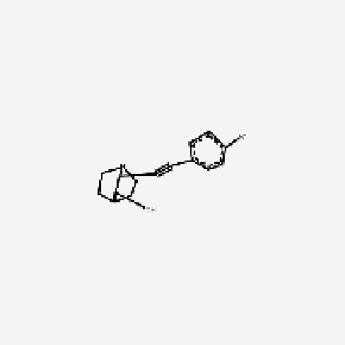 OC1C2CCN(CC2)C1C#Cc1ccc(Br)cc1